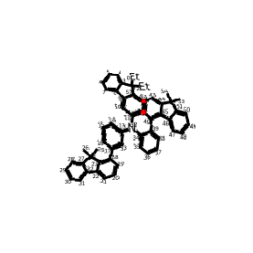 CCC1(CC)c2ccccc2-c2cc(N(c3cccc(-c4cccc5c4C(C)(C)c4ccccc4-5)c3)c3ccccc3-c3cccc4c3-c3ccccc3C4(C)C)ccc21